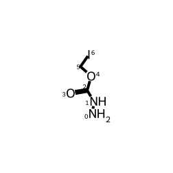 NNC(=O)OCI